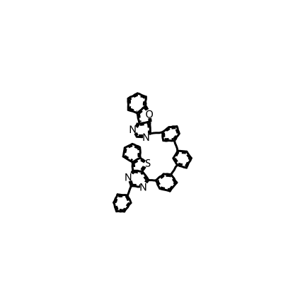 c1ccc(-c2nc(-c3cccc(-c4cccc(-c5cccc(-c6ncnc7c6oc6ccccc67)c5)c4)c3)c3sc4ccccc4c3n2)cc1